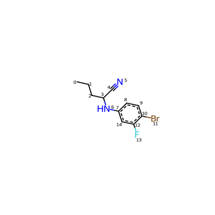 CCCC(C#N)Nc1ccc(Br)c(F)c1